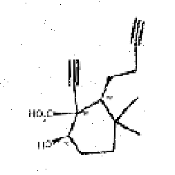 C#CCC[C@H]1C(C)(C)CC[C@@H](O)[C@@]1(C#C)C(=O)O